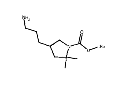 CC(C)(C)OC(=O)N1CC(CCCN)CC1(C)C